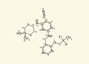 CC(F)(F)COc1ncncc1CNc1ncc(C#N)c(N[C@H]2CC[C@@](C)(O)CC2)n1